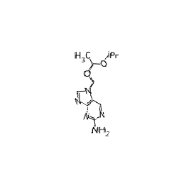 CC(C)OC(C)OCn1cnc2nc(N)ncc21